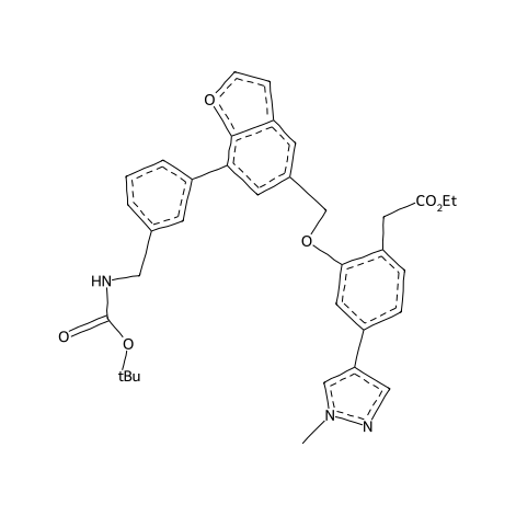 CCOC(=O)Cc1ccc(-c2cnn(C)c2)cc1OCc1cc(-c2cccc(CNC(=O)OC(C)(C)C)c2)c2occc2c1